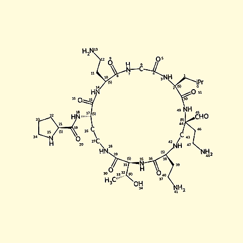 CC(C)C[C@@H]1NC(=O)CNC(=O)[C@H](CCN)NC(=O)[C@@H](NC(=O)[C@@H]2CCCN2)CCNC(=O)[C@H]([C@@H](C)O)NC(=O)[C@H](CCN)NC[C@@](C=O)(CCN)NC1=O